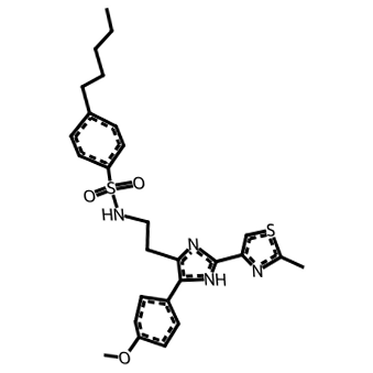 CCCCCc1ccc(S(=O)(=O)NCCc2nc(-c3csc(C)n3)[nH]c2-c2ccc(OC)cc2)cc1